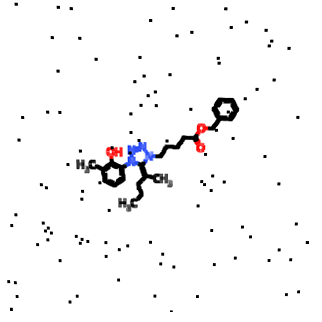 CCC/C(C)=C1/N(CCCCC(=O)OCc2ccccc2)N=NN1c1cccc(C)c1O